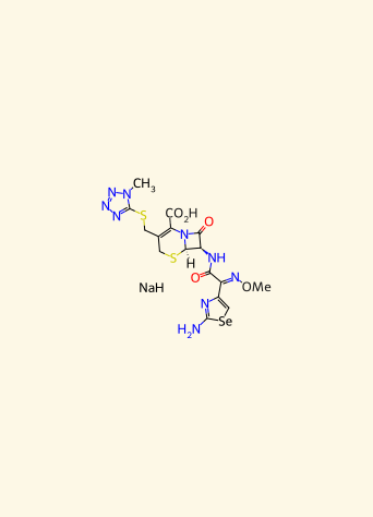 CON=C(C(=O)N[C@@H]1C(=O)N2C(C(=O)O)=C(CSc3nnnn3C)CS[C@H]12)c1c[se]c(N)n1.[NaH]